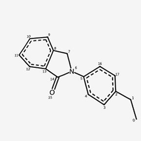 CCc1ccc(N2Cc3ccccc3C2=O)cc1